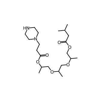 CC(C)CC(=O)OCC(C)OCC(C)OCC(C)OC(=O)CCN1CCNCC1